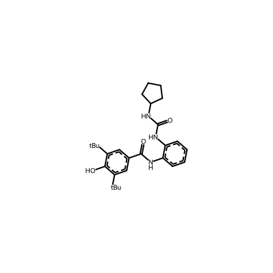 CC(C)(C)c1cc(C(=O)Nc2ccccc2NC(=O)NC2CCCC2)cc(C(C)(C)C)c1O